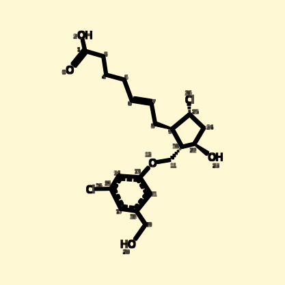 O=C(O)CCCC=CC[C@@H]1[C@@H](COc2cc(Cl)cc(CO)c2)[C@H](O)C[C@H]1Cl